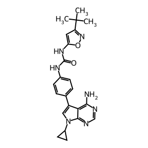 CC(C)(C)c1cc(NC(=O)Nc2ccc(-c3cn(C4CC4)c4ncnc(N)c34)cc2)on1